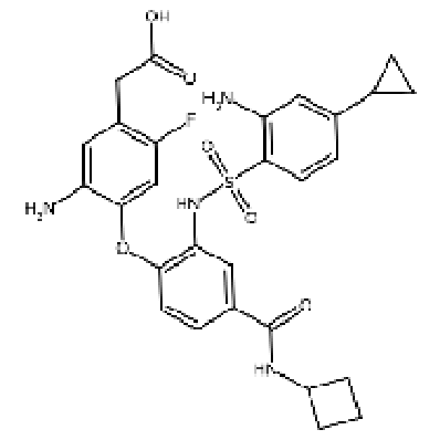 Nc1cc(CC(=O)O)c(F)cc1Oc1ccc(C(=O)NC2CCC2)cc1NS(=O)(=O)c1ccc(C2CC2)cc1N